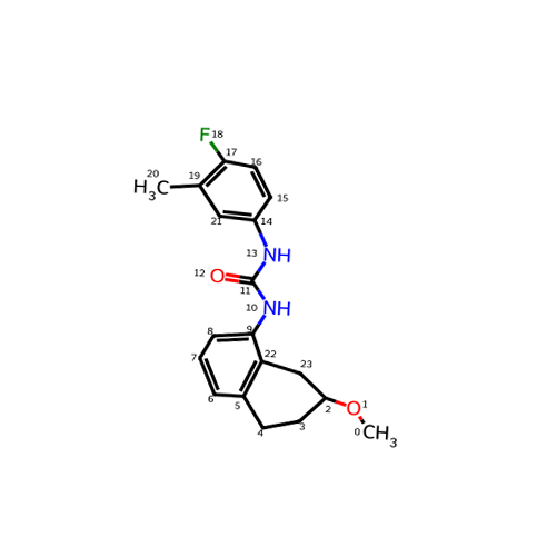 COC1CCc2cccc(NC(=O)Nc3ccc(F)c(C)c3)c2C1